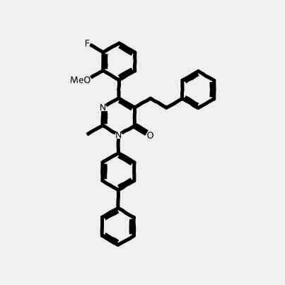 COc1c(F)cccc1-c1nc(C)n(-c2ccc(-c3ccccc3)cc2)c(=O)c1CCc1ccccc1